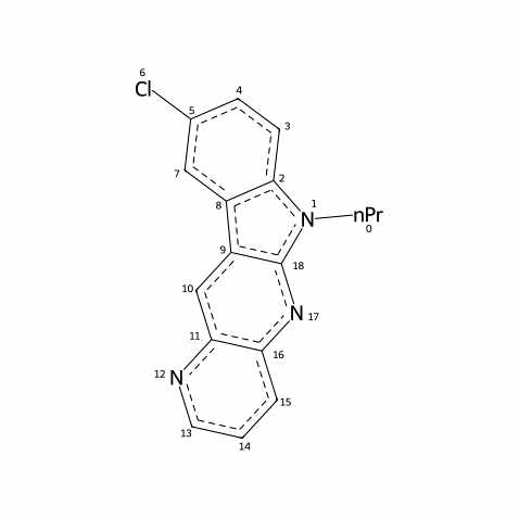 CCCn1c2ccc(Cl)cc2c2cc3ncccc3nc21